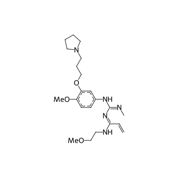 C=C/C(=N\C(=N/C)Nc1ccc(OC)c(OCCCN2CCCC2)c1)NCCOC